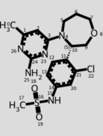 Cc1cc(N2CCCOC[C@@H]2c2ccc(NS(C)(=O)=O)cc2Cl)nc(N)n1